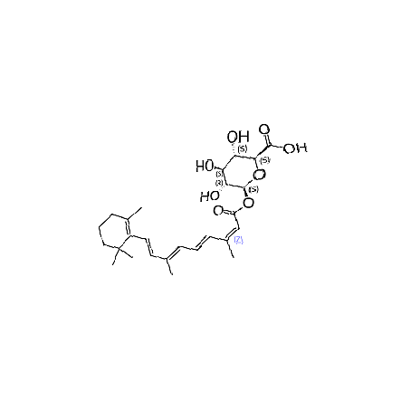 CC(C=CC1=C(C)CCCC1(C)C)=CC=C/C(C)=C\C(=O)O[C@@H]1O[C@H](C(=O)O)[C@@H](O)[C@H](O)[C@H]1O